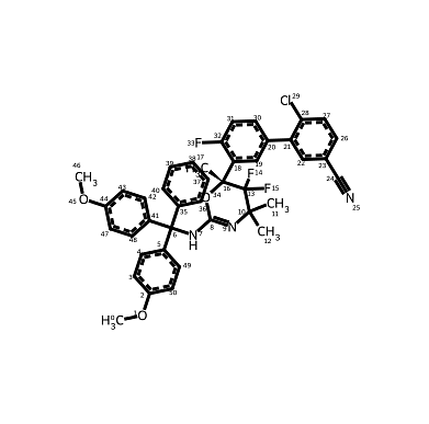 COc1ccc(C(NC2=NC(C)(C)C(F)(F)[C@@](C)(c3cc(-c4cc(C#N)ccc4Cl)ccc3F)O2)(c2ccccc2)c2ccc(OC)cc2)cc1